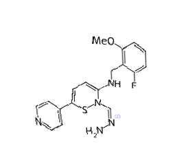 COc1cccc(F)c1CNC1=CC=C(c2ccncc2)SN1/C=N\N